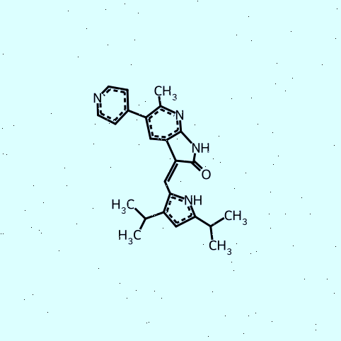 Cc1nc2c(cc1-c1ccncc1)C(=Cc1[nH]c(C(C)C)cc1C(C)C)C(=O)N2